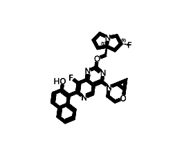 Oc1ccc2ccccc2c1-c1ncc2c(N3CCOC4CC43)nc(OC[C@@]34CCCN3C[C@H](F)C4)nc2c1F